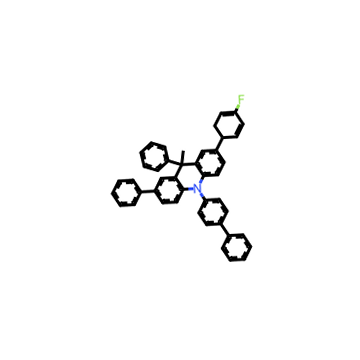 CC1(c2ccccc2)c2cc(-c3ccccc3)ccc2N(c2ccc(-c3ccccc3)cc2)c2ccc(C3C=CC(F)=CC3)cc21